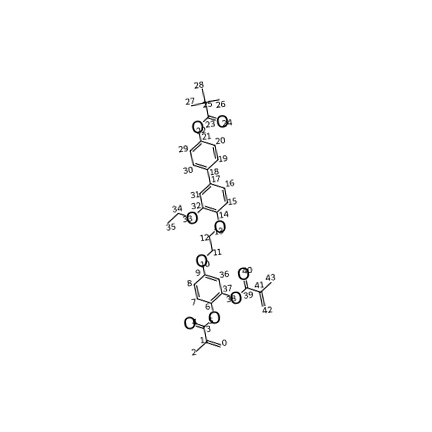 C=C(C)C(=O)Oc1ccc(OCCOc2ccc(-c3ccc(OC(=O)C(C)(C)C)cc3)cc2OCC)cc1OC(=O)C(=C)C